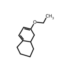 CCOC1=CC=C2CCCCC2C1